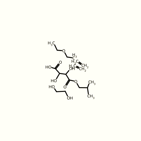 C=C.C=C.CC(C)COC(=O)C(O)C(O)C(=O)O.CCOCC.OCCO